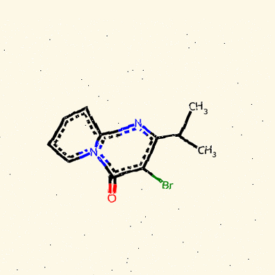 CC(C)c1nc2ccccn2c(=O)c1Br